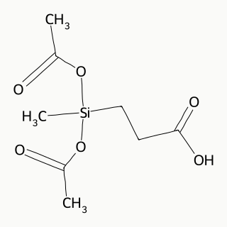 CC(=O)O[Si](C)(CCC(=O)O)OC(C)=O